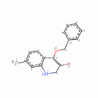 FC(F)(F)c1ccc2c(c1)NCC(Br)=C2OCc1ccccc1